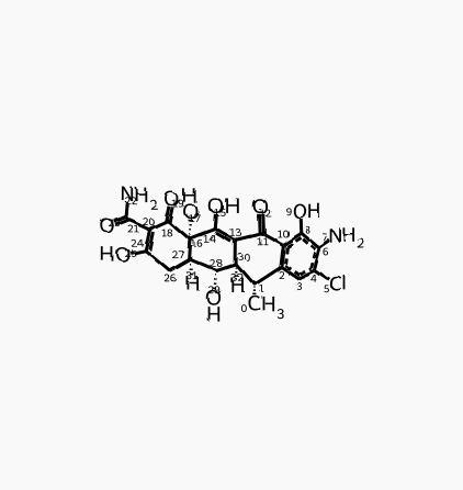 C[C@H]1c2cc(Cl)c(N)c(O)c2C(=O)C2=C(O)[C@]3(O)C(=O)C(C(N)=O)=C(O)C[C@@H]3[C@@H](O)[C@@H]21